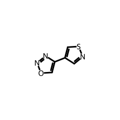 c1nscc1-c1conn1